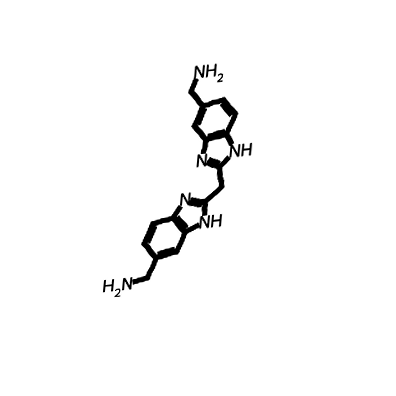 NCc1ccc2[nH]c(Cc3nc4ccc(CN)cc4[nH]3)nc2c1